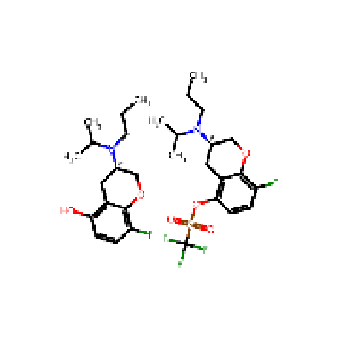 CCCN(C(C)C)[C@H]1COc2c(F)ccc(O)c2C1.CCCN(C(C)C)[C@H]1COc2c(F)ccc(OS(=O)(=O)C(F)(F)F)c2C1